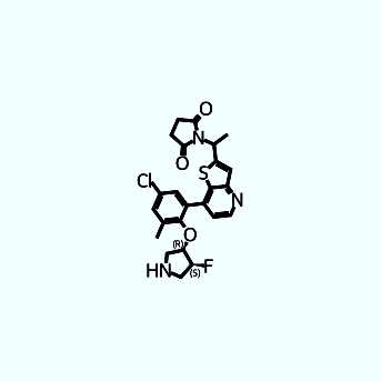 Cc1cc(Cl)cc(-c2ccnc3cc(C(C)N4C(=O)CCC4=O)sc23)c1O[C@@H]1CNC[C@@H]1F